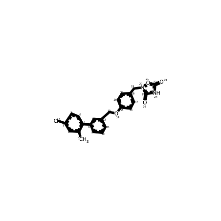 Cc1cc(Cl)ccc1-c1cccc(COc2ccc(Cn3oc(=O)[nH]c3=O)cc2)c1